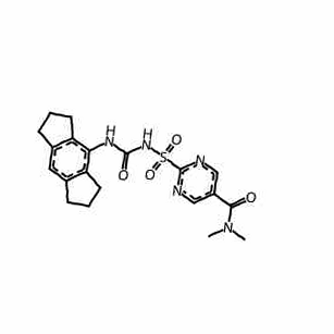 CN(C)C(=O)c1cnc(S(=O)(=O)NC(=O)Nc2c3c(cc4c2CCC4)CCC3)nc1